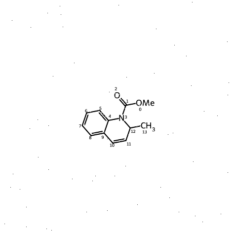 COC(=O)N1c2ccccc2C=CC1C